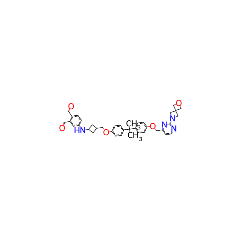 CC(C)(c1ccc(OCc2ccnc(N3CC4(COC4)C3)n2)cc1)c1ccc(OCC2CC(Nc3ccc(C=O)c(C=O)c3)C2)cc1